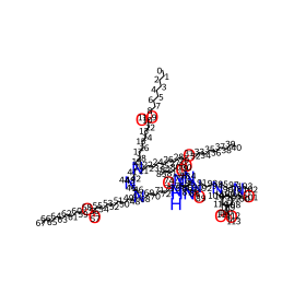 CCCCCCCCCOC(=O)CCCCCCCCN(CCCCCCCCC(=O)OCCCCCCCCC)CCN(C)CCN(CCCCCCCCC(=O)OCCCCCCCCC)CCCCCC(=O)Nc1nc(OCCCC)nc2c1[nH]c(=O)n2CCCN(CCCN1CCOCC1)Cc1cccc(C(=O)OC)c1